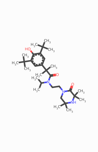 CC(C)N(CCN1CC(C)(C)NC(C)(C)C1=O)C(=O)C(C)(C)c1cc(C(C)(C)C)c(O)c(C(C)(C)C)c1